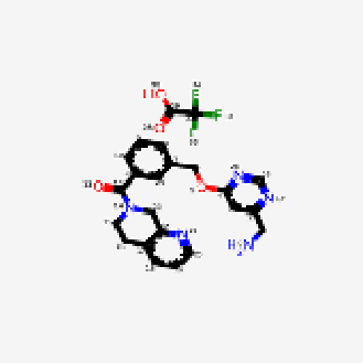 NCc1cc(OCc2cccc(C(=O)N3CCc4cccnc4C3)c2)ncn1.O=C(O)C(F)(F)F